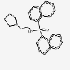 O=P(NCCN1CCCC1)(c1cccc2ccccc12)c1cccc2ccccc12